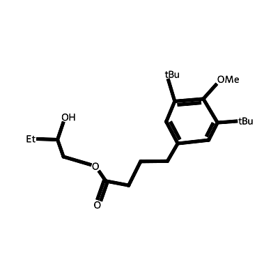 CCC(O)COC(=O)CCCc1cc(C(C)(C)C)c(OC)c(C(C)(C)C)c1